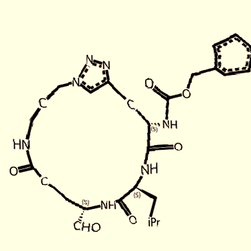 CC(C)C[C@@H]1NC(=O)[C@@H](NC(=O)OCc2ccccc2)Cc2cn(nn2)CCCNC(=O)CC[C@@H](C=O)NC1=O